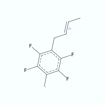 [CH2]c1c(F)c(F)c(C/C=C/C)c(F)c1F